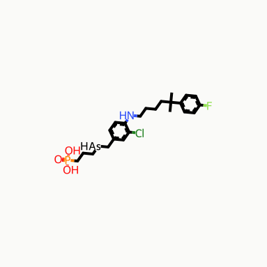 CC(C)(CCCCNc1ccc(C[AsH]CCCP(=O)(O)O)cc1Cl)c1ccc(F)cc1